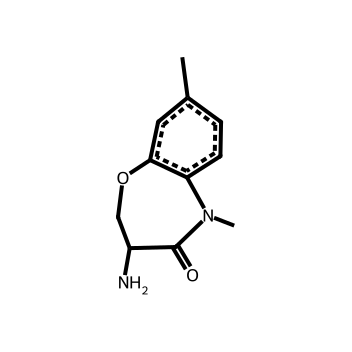 Cc1ccc2c(c1)OCC(N)C(=O)N2C